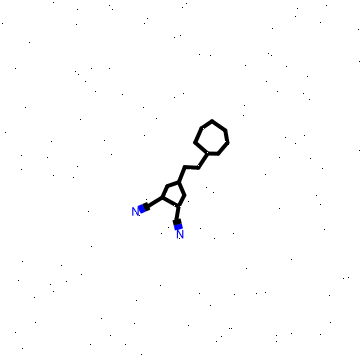 N#CC1CC(CCC2CCCCCC2)CC1C#N